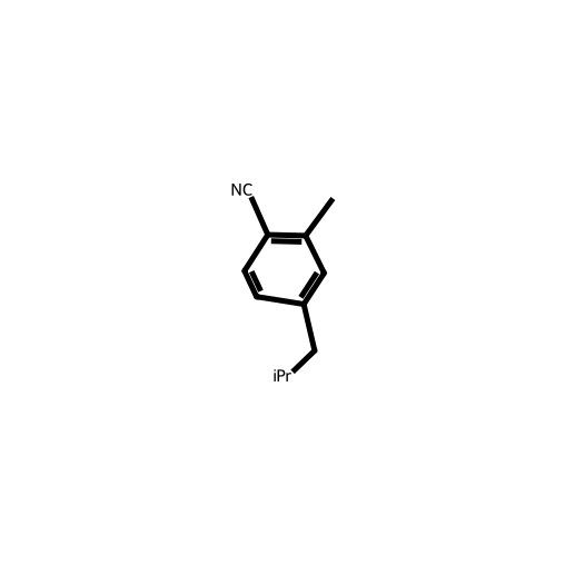 Cc1cc(CC(C)C)ccc1C#N